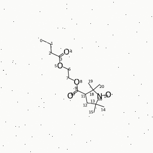 CCCC(=O)OCCOC(=O)C1CC(C)(C)N([O])C1(C)C